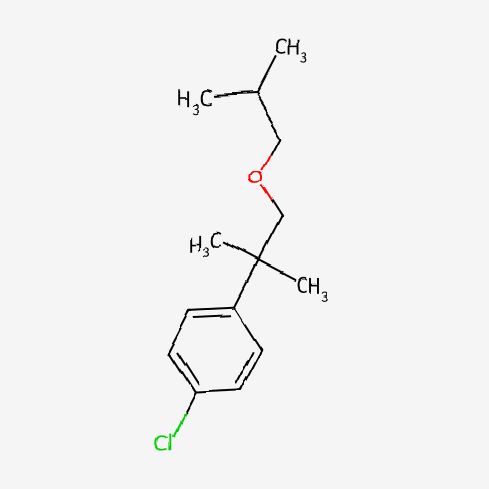 CC(C)COCC(C)(C)c1ccc(Cl)cc1